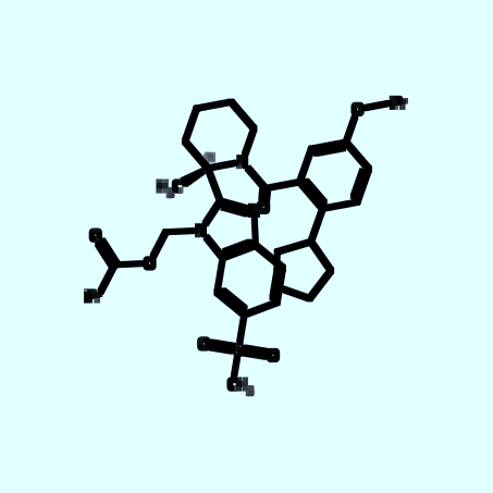 CC(C)Oc1ccc(C2CCCC2)c(C(=O)N2CCCC[C@@]2(C)c2nc3ccc(S(C)(=O)=O)cc3n2COC(=O)C(C)C)c1